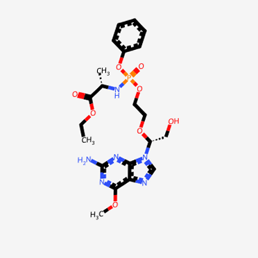 CCOC(=O)[C@H](C)NP(=O)(OCCO[C@H](CO)n1cnc2c(OC)nc(N)nc21)Oc1ccccc1